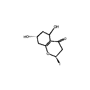 O=C1C[C@@H](I)OC2=C1C(O)C[C@@H](O)C2